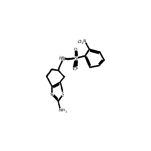 Nc1nc2c(s1)CC(NS(=O)(=O)c1ccccc1[N+](=O)[O-])CC2